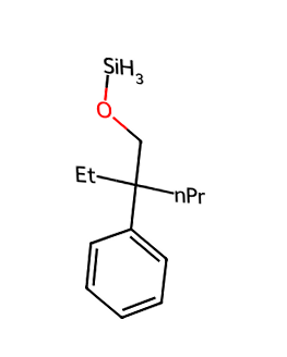 CCCC(CC)(CO[SiH3])c1ccccc1